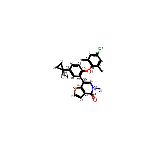 Cc1cc(F)cc(C)c1Oc1ccc(C2(C#N)CC2)cc1-c1cn(C)c(=O)c2ccsc12